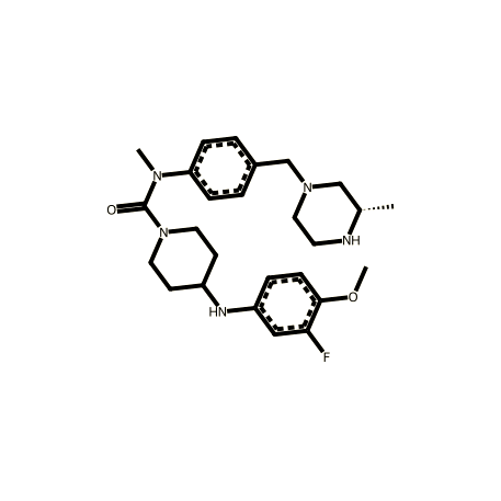 COc1ccc(NC2CCN(C(=O)N(C)c3ccc(CN4CCN[C@@H](C)C4)cc3)CC2)cc1F